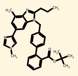 CCCc1nc2c(C)cc(-c3cn(C)cn3)cc2n1Cc1ccc(-c2ccccc2C(=O)OC(C)(C)C)cc1